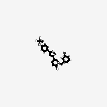 O=c1ccc(-c2cc(-c3ccc(OC(F)(F)F)cc3)on2)cn1Cc1cccc(Br)c1